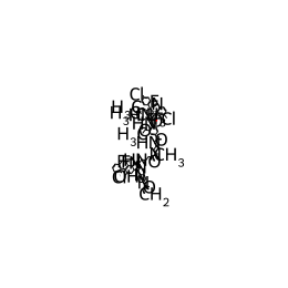 C=CC(=O)N1CCN(c2nc(NCCC(=O)N(C)CCNC(=O)c3ccc(NC(=O)[C@@H]4N[C@@H](CC(C)(C)C)[C@](C#N)(c5ccc(Cl)cc5F)[C@H]4c4cccc(Cl)c4F)c(OC)c3)nc3c(F)c(C4=C(F)C=CC[C@H]4O)c(Cl)cc23)CC1